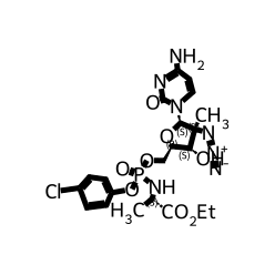 CCOC(=O)[C@H](C)NP(=O)(OC[C@H]1O[C@H](n2ccc(N)nc2=O)[C@](C)(N=[N+]=[N-])[C@@H]1O)Oc1ccc(Cl)cc1